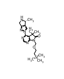 C[C@H]1NCc2nn(-c3ncnc4c3C(C)(C)C(=O)N4COCC[Si](C)(C)C)cc21